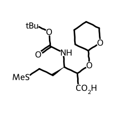 CSCC[C@@H](NC(=O)OC(C)(C)C)C(OC1CCCCO1)C(=O)O